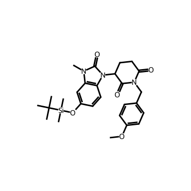 COc1ccc(CN2C(=O)CCC(n3c(=O)n(C)c4cc(O[Si](C)(C)C(C)(C)C)ccc43)C2=O)cc1